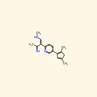 CN/C=C(\C(C)=N)c1ccc(C2=C(C)CC(C)=C2)cn1